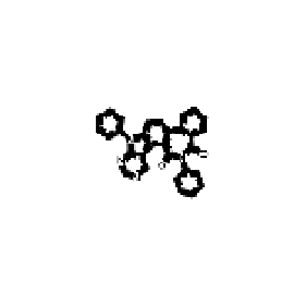 O=c1c2ccccc2c2ccc3c(c4cncnc4n3-c3ccccc3)c2c(=O)n1-c1ccccc1